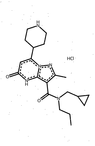 CCCN(CC1CC1)C(=O)c1c(C)nn2c(C3CCNCC3)cc(=O)[nH]c12.Cl